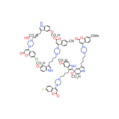 COc1ccc2c(N3CCN(CCCCC4=CN=C5C=CC(OC(=O)O)(c6[nH]c7ccc(OC(=O)O)cc7c6CCCCN6CCN(c7cc(=O)oc8cc(F)ccc78)CC6)C=C45)CC3)cc(=O)oc2c1.N#Cc1ccc2c(N3CCN(CCCCc4c[nH]c5ccc(OC(=O)O)cc45)CC3)cc(=O)oc2c1.O=C(O)O.O=C(O)Oc1ccc2[nH]cc(CCCCN3CCN(c4cc(=O)oc5cc(Cl)ccc45)CC3)c2c1